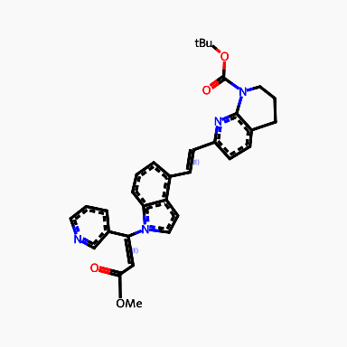 COC(=O)/C=C(\c1cccnc1)n1ccc2c(/C=C/c3ccc4c(n3)N(C(=O)OC(C)(C)C)CCC4)cccc21